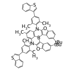 Cc1cc2c3c(c1)N(c1c(C)cc(-c4csc5ccccc45)cc1C)c1oc4ccc(C(C)(C)C)cc4c1B3c1c(oc3ccc(C(C)(C)C)cc13)N2c1c(C)cc(-c2csc3ccccc23)cc1C